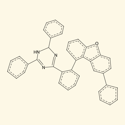 c1ccc(C2=NC(c3ccccc3-c3cccc4oc5ccc(-c6ccccc6)cc5c34)=NC(c3ccccc3)N2)cc1